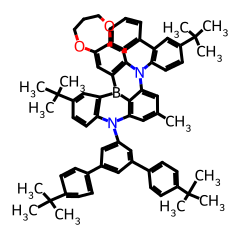 Cc1cc2c3c(c1)N(c1ccc(C(C)(C)C)cc1-c1ccccc1)c1cc4c(cc1B3c1cc(C(C)(C)C)ccc1N2c1cc(-c2ccc(C(C)(C)C)cc2)cc(-c2ccc(C(C)(C)C)cc2)c1)OCCCO4